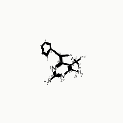 CC(c1ccccc1)c1nc(N)nc(N)c1C(F)(F)F